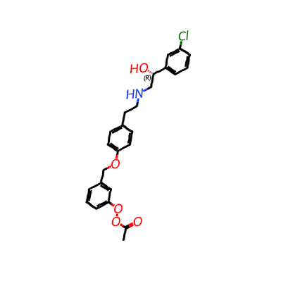 CC(=O)OOc1cccc(COc2ccc(CCNC[C@H](O)c3cccc(Cl)c3)cc2)c1